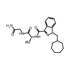 CC(C)(C)[C@H](NC(=O)c1nn(CC2CCCCCC2)c2ccccc12)C(=O)NCC(N)=O